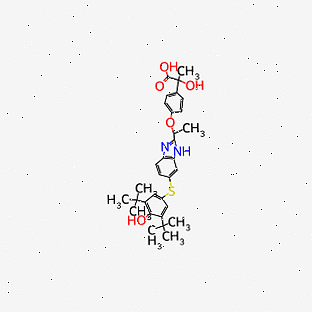 CC(Oc1ccc(C(C)(O)C(=O)O)cc1)c1nc2ccc(Sc3cc(C(C)(C)C)c(O)c(C(C)(C)C)c3)cc2[nH]1